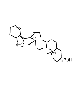 C[C@]12CC[C@H](O)CC1=CCC1C2CC[C@]2(C)C(c3onc4c3C=CCC4)=CCC12